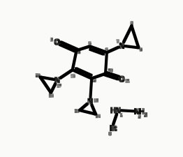 CCNN.O=C1C=C(N2CC2)C(=O)C(N2CC2)=C1N1CC1